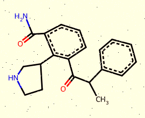 CC(C(=O)c1cccc(C(N)=O)c1C1CCNC1)c1ccccc1